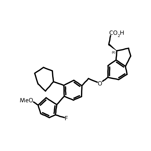 COc1ccc(F)c(-c2ccc(COc3ccc4c(c3)[C@@H](CC(=O)O)CC4)cc2C2CCCCC2)c1